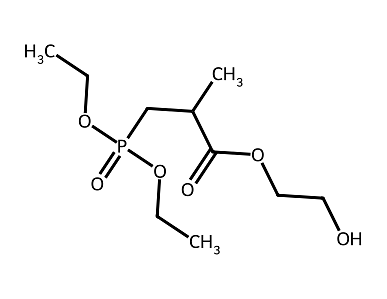 CCOP(=O)(CC(C)C(=O)OCCO)OCC